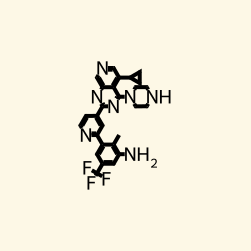 Cc1c(N)cc(C(F)(F)F)cc1-c1cc(-c2nc(N3CCNCC3)c3c(C4CC4)cncc3n2)ccn1